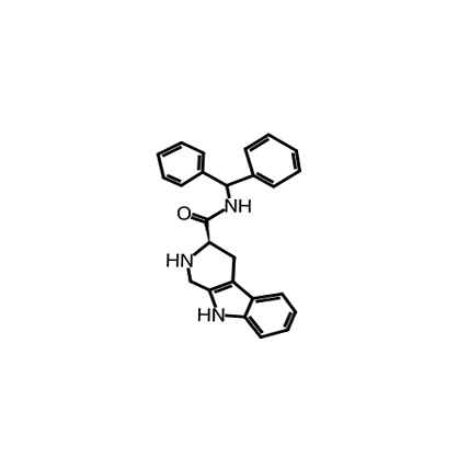 O=C(NC(c1ccccc1)c1ccccc1)[C@H]1Cc2c([nH]c3ccccc23)CN1